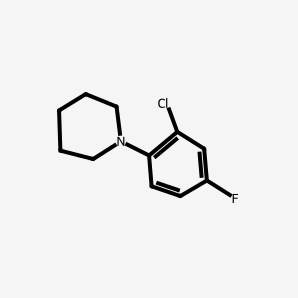 Fc1ccc(N2CCCCC2)c(Cl)c1